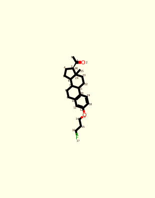 CC(=O)[C@@H]1CCC2C3CCc4cc(OCCCF)ccc4C3CCC21C